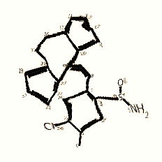 Cc1cc([S+](N)[O-])c(C=C2c3ccccc3CCc3ccccc32)cc1Cl